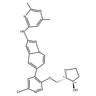 Cc1cc(Nc2cc3cc(-c4cc(Cl)ncc4OC[C@@H]4OCC[C@H]4O)ccn3n2)nc(C)n1